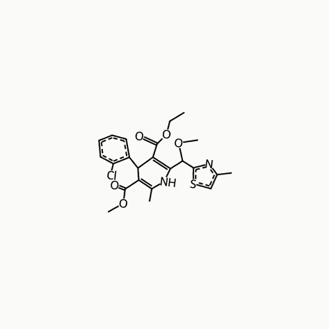 CCOC(=O)C1=C(C(OC)c2nc(C)cs2)NC(C)=C(C(=O)OC)C1c1ccccc1Cl